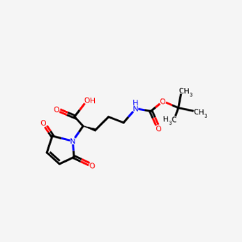 CC(C)(C)OC(=O)NCCC[C@H](C(=O)O)N1C(=O)C=CC1=O